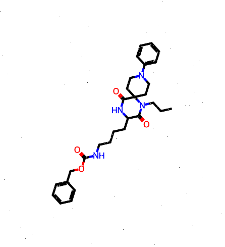 CCCN1C(=O)C(CCCCNC(=O)OCc2ccccc2)NC(=O)C12CCN(c1ccccc1)CC2